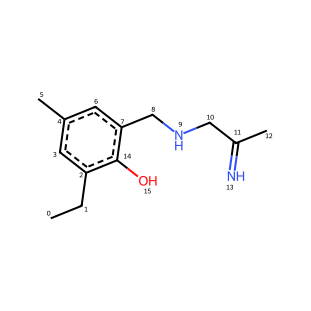 CCc1cc(C)cc(CNCC(C)=N)c1O